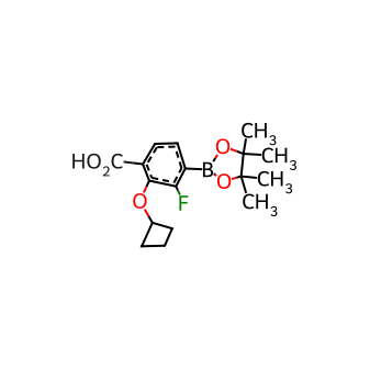 CC1(C)OB(c2ccc(C(=O)O)c(OC3CCC3)c2F)OC1(C)C